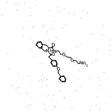 NCCOCCOCCNC(=O)C1Cc2ccccc2CN1C(=O)Cc1ccc(OCc2ccccc2)cc1